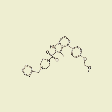 COCOc1ccc(-c2cccc3[nH]c(S(=O)(=O)N4CCN(Cc5ccccc5)CC4)c(C)c23)cc1